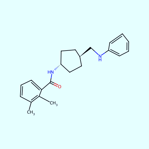 Cc1cccc(C(=O)N[C@H]2CC[C@H](CNc3ccccc3)CC2)c1C